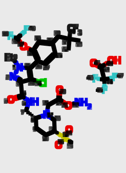 CCn1nc(C(=O)NC[C@H]2CC[C@H](S(C)(=O)=O)CN2CC(=O)ON)c(Cl)c1-c1ccc(CC(C)(C)C(F)(F)F)cc1OC(F)F.O=C(O)C(F)(F)F